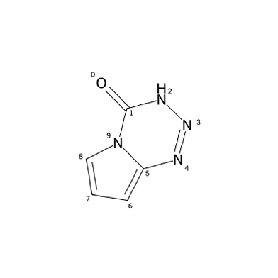 O=c1[nH]nnc2cccn12